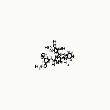 COc1cc(CNc2nc(C)c(-c3nc4cnccc4s3)c(N[C@@H]3C[C@H](CO)[C@@H](O)[C@H]3O)n2)cc(OC)c1